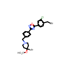 CCCC1(OC(=O)O)CCN(Cc2ccc(-c3noc(-c4ccc(CC(C)C)c(Cl)c4)n3)cc2)CC1